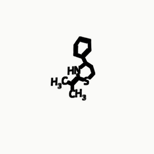 CC(C)=C1NC(c2ccccc2)CCS1